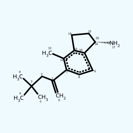 C=C(CC(C)(C)C)c1ccc2c(c1C)CC[C@@H]2N